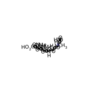 COc1c(NC(=O)c2ccc(NC(=O)c3ccc(NC(=O)CNC(=O)c4ccc(NC(=O)/C(C)=C/c5ccc6oc(=O)[nH]c6c5)cc4)cc3)c(OC)c2O)ccc(C(=O)O)c1O